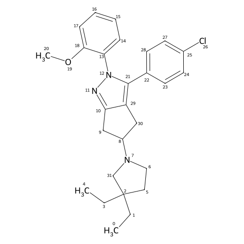 CCC1(CC)CCN(C2Cc3nn(-c4ccccc4OC)c(-c4ccc(Cl)cc4)c3C2)C1